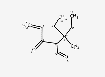 C=CC(=O)C(C=O)[N+](C)(CC)CC